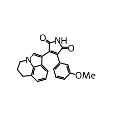 COc1cccc(C2=C(c3cn4c5c(cccc35)CCC4)C(=O)NC2=O)c1